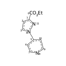 CCOC(=O)c1ccn(-c2ccncc2)n1